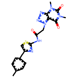 Cc1ccc(-c2csc(NC(=O)Cn3nnc4c3c(=O)n(C)c(=O)n4C)n2)cc1